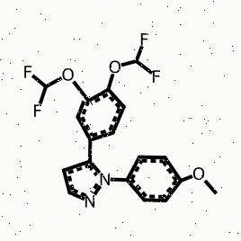 COc1ccc(-n2nccc2-c2ccc(OC(F)F)c(OC(F)F)c2)cc1